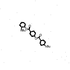 CCCCc1ccc(C(=O)Oc2ccc(C(=O)Oc3ccccc3CCCC)cc2)cc1